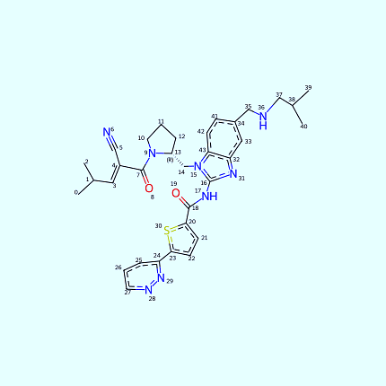 CC(C)C=C(C#N)C(=O)N1CCC[C@@H]1Cn1c(NC(=O)c2ccc(-c3cccnn3)s2)nc2cc(CNCC(C)C)ccc21